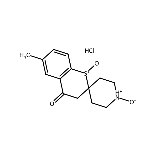 Cc1ccc2c(c1)C(=O)CC1(CC[NH+]([O-])CC1)[S+]2[O-].Cl